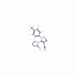 N#Cc1cnn(-c2c(F)c(F)c(C(F)(F)F)c(F)c2F)c1N1CCCC1=O